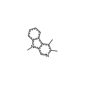 Cc1ncc2c(c1C)c1ccccc1n2C